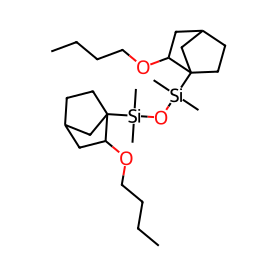 CCCCOC1CC2CCC1([Si](C)(C)O[Si](C)(C)C13CCC(CC1OCCCC)C3)C2